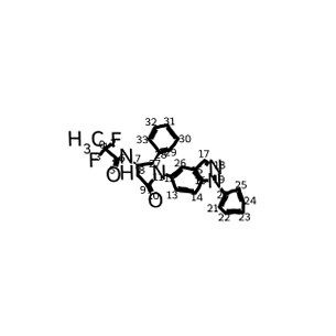 CC(F)(F)C(=O)N[C@H]1CC(=O)N(c2ccc3c(cnn3-c3ccccc3)c2)[C@@H]1c1ccccc1